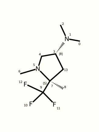 CN(C)[C@H]1CN(C)[C@](C)(C(F)(F)F)C1